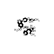 CCNC(=O)OC1CCN(c2nncc3cc(OC)c(OC)cc23)CC1.CCc1[nH]c(=O)[nH]c1C(=O)c1ccncc1